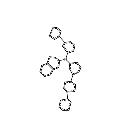 c1ccc(-c2ccc(-c3cccc(N(c4cccc(-c5ccccc5)c4)c4ccc5ccccc5c4)c3)cc2)cc1